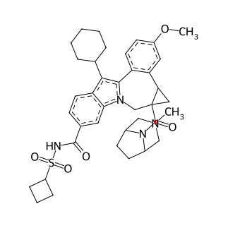 COc1ccc2c(c1)C1CC1(C(=O)N1C3CCC1CN(C)C3)Cn1c-2c(C2CCCCC2)c2ccc(C(=O)NS(=O)(=O)C3CCC3)cc21